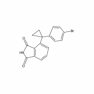 O=C1NC(=O)c2c1cccc2C1(c2ccc(Br)cc2)CC1